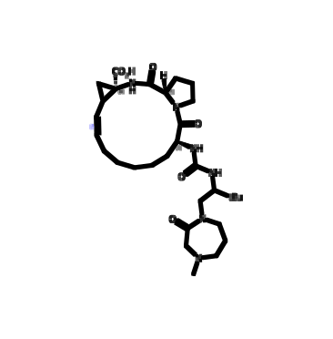 CN1CCCN(CC(NC(=O)N[C@H]2CCCCC/C=C\C3C[C@@]3(C(=O)O)NC(=O)[C@@H]3CCCN3C2=O)C(C)(C)C)C(=O)C1